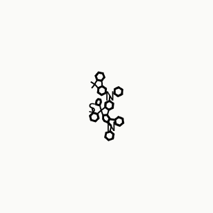 CC1(C)c2ccccc2-c2cc(N(c3ccccc3)c3ccc4c(c3)C3(c5ccccc5Sc5ccccc53)c3ccc5c(c3-4)c3ccccc3n5-c3ccccc3)ccc21